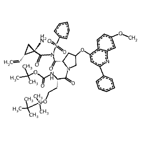 C=C[C@@H]1C[C@]1(N)C(=O)N(C(=O)[C@@H]1CC(Oc2cc(-c3ccccc3)nc3cc(OC)ccc23)CN1C(=O)[C@H](CCO[Si](C)(C)C(C)(C)C)NC(=O)OC(C)(C)C)S(=O)(=O)c1ccccc1